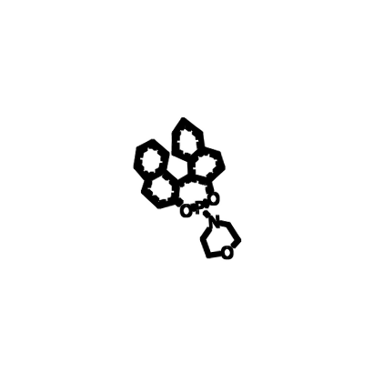 c1ccc2c(c1)ccc1op(N3CCOCC3)oc3ccc4ccccc4c3c12